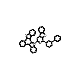 c1ccc(-c2cccc(-c3nc(-n4c5ccccc5c5c6ccccc6c6sc7ccccc7c6c54)cc4c3oc3ccccc34)c2)cc1